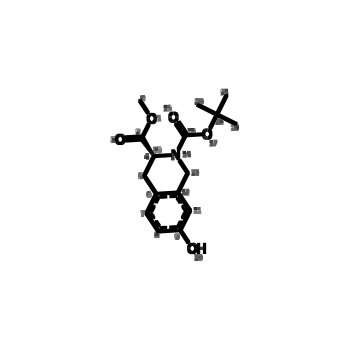 COC(=O)[C@@H]1Cc2ccc(O)cc2CN1C(=O)OC(C)(C)C